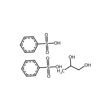 CC(O)CO.O=S(=O)(O)c1ccccc1.O=S(=O)(O)c1ccccc1